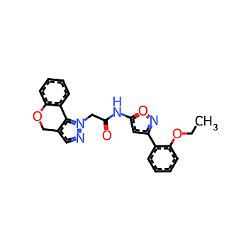 CCOc1ccccc1-c1cc(NC(=O)Cn2ncc3c2-c2ccccc2OC3)on1